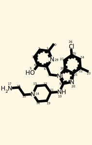 Cc1ccc(O)c(Cn2c(NC3CCN(CCN)CC3)nc3c(C)cc(Cl)cc32)n1